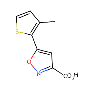 Cc1ccsc1-c1cc(C(=O)O)no1